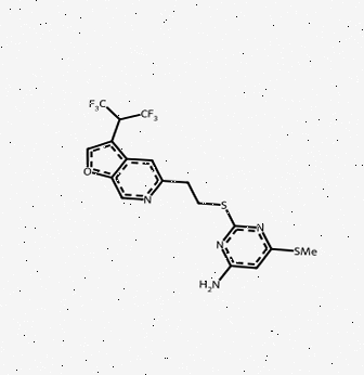 CSc1cc(N)nc(SCCc2cc3c(C(C(F)(F)F)C(F)(F)F)coc3cn2)n1